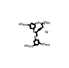 CCCCCCCCCCCCC#CC(C=Nc1cc(CCCCC)cc(CCCCC)c1)=Nc1cc(CCCCC)cc(CCCCC)c1.[Ni]